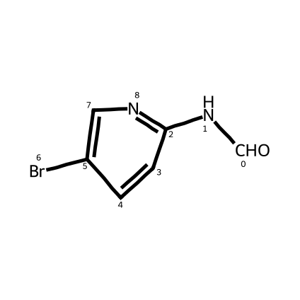 O=CNc1ccc(Br)cn1